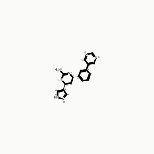 NC1=N[C@H](c2cccc(-c3cncnc3)c2)C[C@@H](c2cn[nH]c2)S1